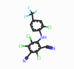 N#Cc1c(Cl)c(Cl)c(Nc2ccc(C(F)(F)F)cc2Cl)c(C#N)c1Cl